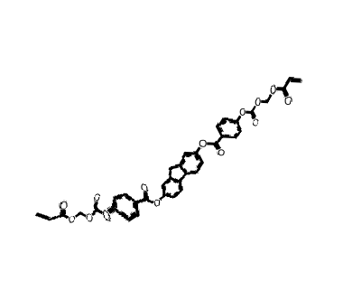 C=CC(=O)OCOC(=O)Oc1ccc(C(=O)Oc2ccc3c(c2)Cc2cc(OC(=O)c4ccc(OC(=O)OCOC(=O)C=C)cc4)ccc2-3)cc1